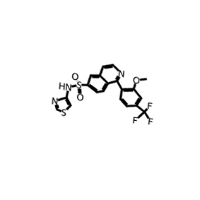 COc1cc(C(F)(F)F)ccc1-c1nccc2cc(S(=O)(=O)Nc3cscn3)ccc12